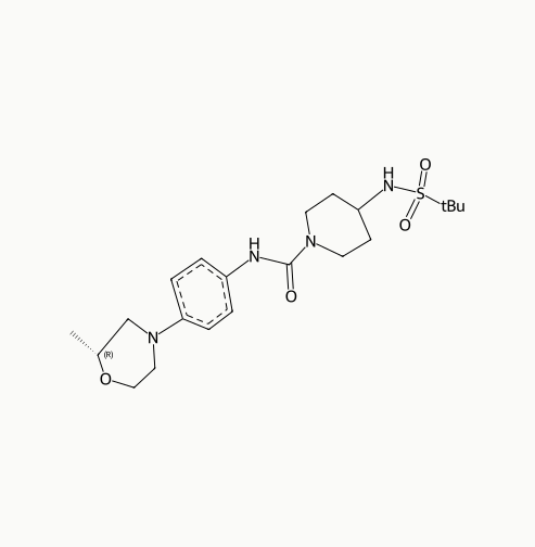 C[C@@H]1CN(c2ccc(NC(=O)N3CCC(NS(=O)(=O)C(C)(C)C)CC3)cc2)CCO1